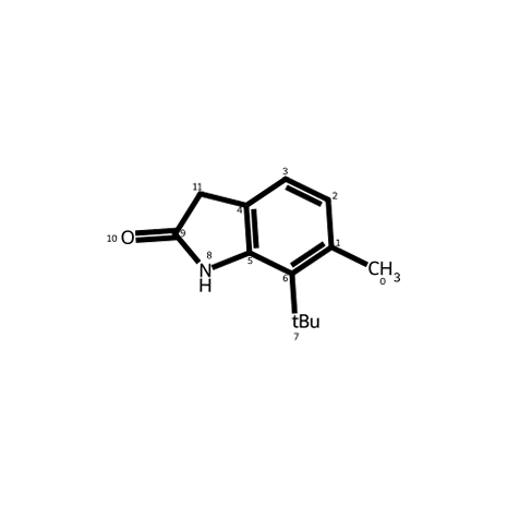 Cc1ccc2c(c1C(C)(C)C)NC(=O)C2